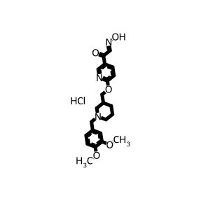 COc1ccc(CN2CCCC(COc3ccc(C(=O)C=NO)cn3)C2)cc1OC.Cl